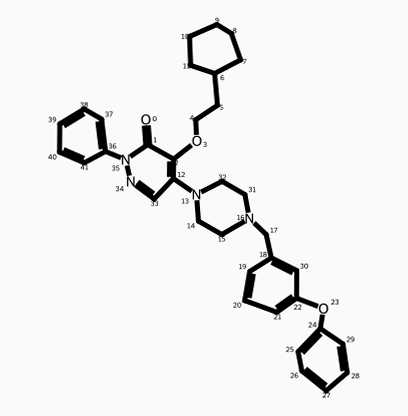 O=c1c(OCCC2CCCCC2)c(N2CCN(Cc3cccc(Oc4ccccc4)c3)CC2)cnn1-c1ccccc1